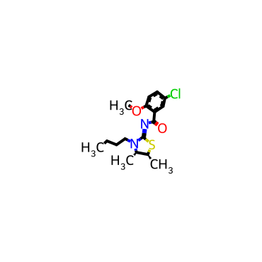 CCCCN1/C(=N/C(=O)c2cc(Cl)ccc2OC)S[C@@H](C)[C@H]1C